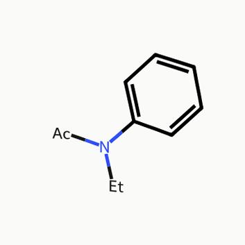 [CH2]C(=O)N(CC)c1ccccc1